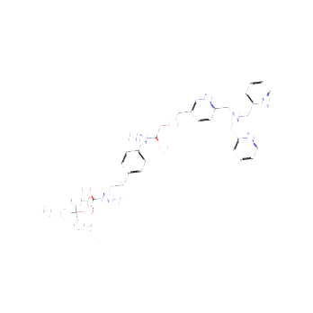 CC(C)(C)OC(=O)NCCc1ccc(NC(=O)COCc2ccc(CN(Cc3ccccn3)Cc3ccccn3)nc2)cc1